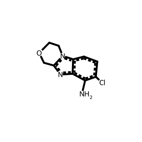 Nc1c(Cl)ccc2c1nc1n2CCOC1